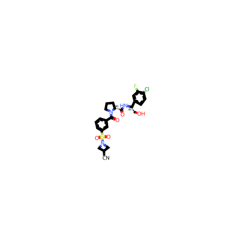 N#CC1CN(S(=O)(=O)c2cccc(C(=O)N3CCC[C@@H]3C(=O)N[C@@H](CO)c3ccc(Cl)c(F)c3)c2)C1